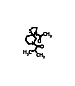 CC(=O)N1CCSC12CCCN(C(=O)C(C)C)C2